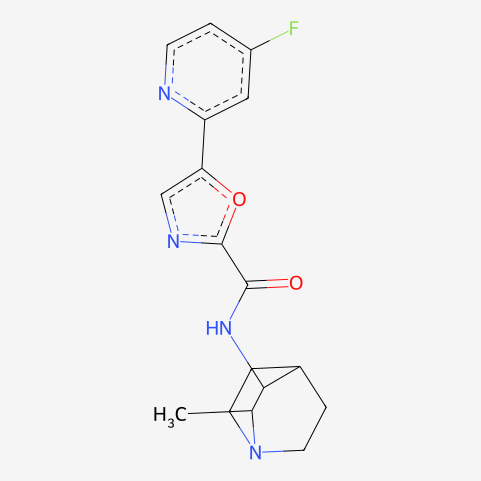 CC1C(NC(=O)c2ncc(-c3cc(F)ccn3)o2)C2CCN1CC2